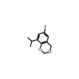 CC(C)c1cc(F)cc2c1OCOC2